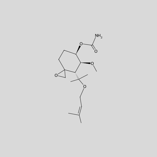 CO[C@H]1[C@H](C(C)(C)OCC=C(C)C)C2(CC[C@H]1OC(N)=O)CO2